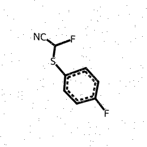 N#CC(F)Sc1ccc(F)cc1